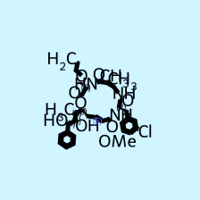 C=CCOC[C@@H]1NC(=O)C(C)(C)CNC(=O)[C@@H](Cc2ccc(OC)c(Cl)c2)NC(=O)/C=C/C[C@@H]([C@H](C)[C@@H](O)[C@H](O)c2ccccc2)OC1=O